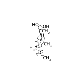 C=C1/C(=C\C=C2/CCC[C@]3(C)[C@@H]([C@H](C)/C=C/[C@@H](CCC4(C(=O)CCC)CC4)OC)CC[C@@H]23)C[C@@H](O)C[C@@H]1O